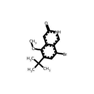 COc1c(C(C)(C)C)cc(Br)c2c[nH]c(=O)cc12